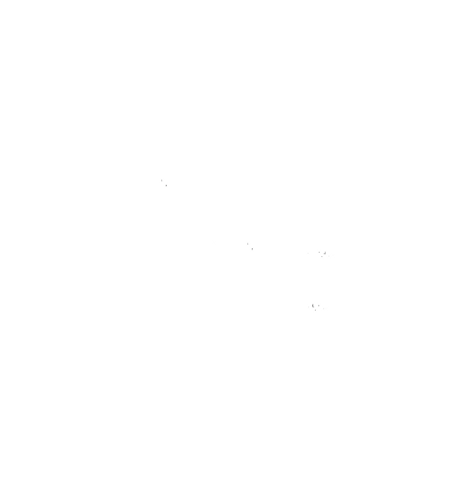 COC(CNc1cccc([N+](=O)[O-])c1)OC